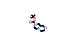 CC(C)(C)OC(=O)N1C=CN2C=CN=CC2=C1